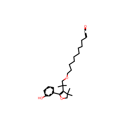 CC(C)(COCCCCCCCCCC=C=O)C1=C(c2cccc(O)c2)OCC1(C)C